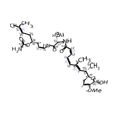 COC1=CC[C@@H]([C@@H](C)/C=C(C)/C=C\C=C/C(=O)N[C@H](C(=O)N/C=C\C[C@H](C/C=C(\C)Cl)OC(N)=O)C(C)(C)C)O[C@H]1O